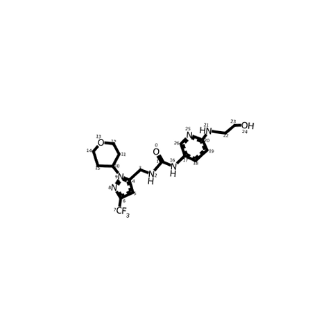 O=C(NCc1cc(C(F)(F)F)nn1C1CCOCC1)Nc1ccc(NCCO)nc1